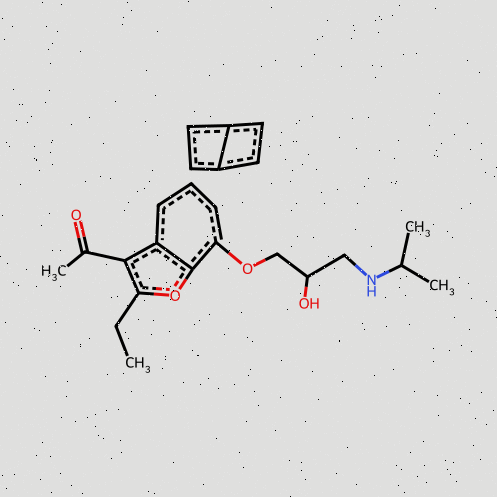 CCc1oc2c(OCC(O)CNC(C)C)cccc2c1C(C)=O.c1cc2ccc1-2